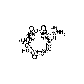 N=C(N)NCCC[C@@H]1NC(=O)[C@@H]2CCCN2C(=O)[C@H]2CCCN2C(=O)[C@H](Cc2ccccc2)NC(=O)[C@H](CO)NC(=O)[C@H](CN)NC(=O)[C@H](Cc2ccccc2)NC(=O)[C@H](Cc2ccccc2)NC1=O